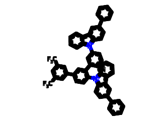 N#Cc1ccc(-n2c3ccccc3c3cc(-c4ccccc4)ccc32)cc1-c1cc(-c2cc(C(F)(F)F)cc(C(F)(F)F)c2)ccc1-n1c2ccccc2c2cc(-c3ccccc3)ccc21